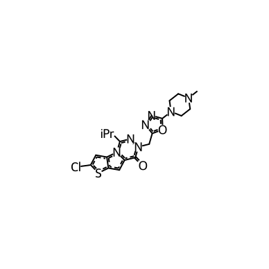 CC(C)c1nn(Cc2nnc(N3CCN(C)CC3)o2)c(=O)c2cc3sc(Cl)cc3n12